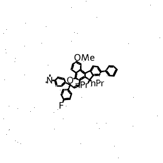 CCCC1(CCC)c2cc(-c3ccccc3)ccc2-c2c1c1c(c3ccc(OC)cc23)OC(c2ccc(F)cc2)(c2ccc(N(C)C)cc2)C=C1